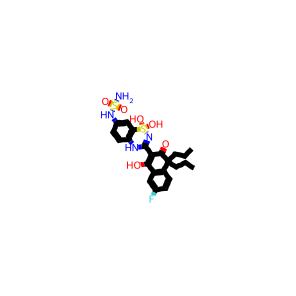 CCCC1(CCC)C(=O)C(C2=NS(O)(O)c3cc(NS(N)(=O)=O)ccc3N2)=C(O)c2cc(F)ccc21